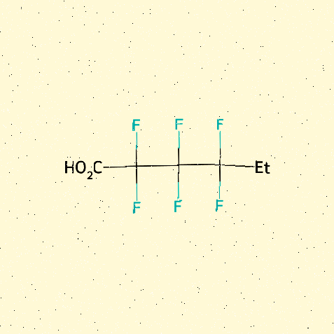 CCC(F)(F)C(F)(F)C(F)(F)C(=O)O